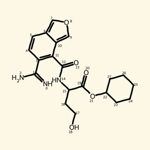 N=C(N)c1ccc2cocc2c1C(=O)NC(CCO)C(=O)OC1CCCCC1